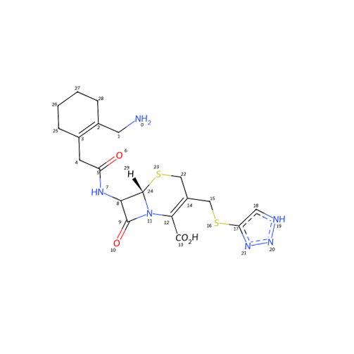 NCC1=C(CC(=O)NC2C(=O)N3C(C(=O)O)=C(CSc4c[nH]nn4)CS[C@@H]23)CCCC1